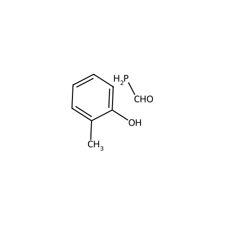 Cc1ccccc1O.O=CP